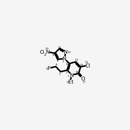 CCn1c(CCF)c(-n2cc([N+](=O)[O-])cn2)cc(Cl)c1=O